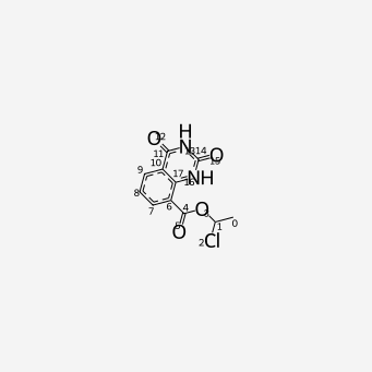 CC(Cl)OC(=O)c1cccc2c(=O)[nH]c(=O)[nH]c12